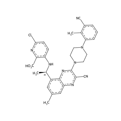 Cc1cc([C@@H](C)Nc2ccc(Cl)nc2C(=O)O)c2nc(N3CCN(c4cccc(C#N)c4C)CC3)c(C#N)nc2c1